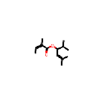 CC=C(C)C(=O)OC(C=C(C)C)C(C)C